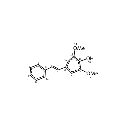 COc1cc(C=Cc2ccccc2)cc(OC)c1O